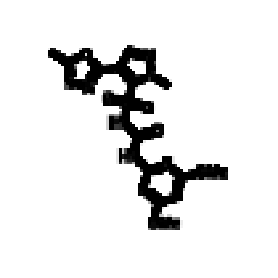 COc1cc(OC)nc(NC(=O)NS(=O)(=O)c2c(-c3nnc(C)o3)cnn2C)n1